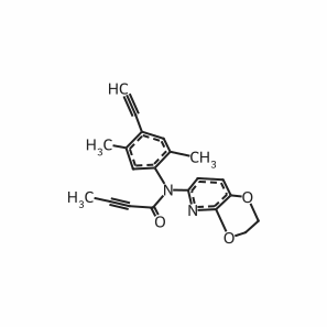 C#Cc1cc(C)c(N(C(=O)C#CC)c2ccc3c(n2)OCCO3)cc1C